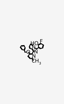 Cc1ccc(OCc2ccccc2)c(-c2nc(-c3cccc(F)c3O)n3ccccc23)n1